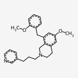 COc1cc2c(c(Cc3ccccc3OC)c1)CN(CCCc1cccnc1)CC2